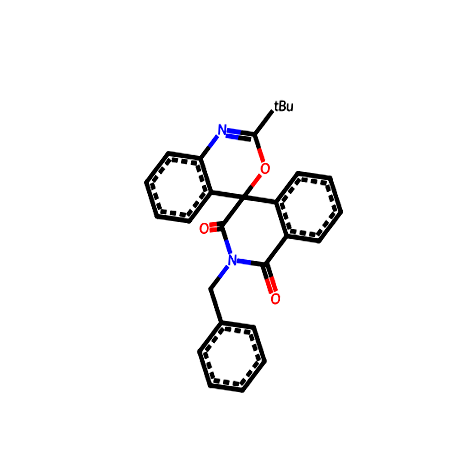 CC(C)(C)C1=Nc2ccccc2C2(O1)C(=O)N(Cc1ccccc1)C(=O)c1ccccc12